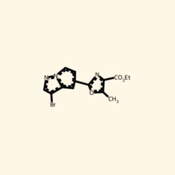 CCOC(=O)c1nc(-c2ccn3ncc(Br)c3c2)oc1C